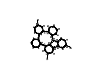 Cc1ccc2c3ccccc3c3cc(C)cc4c5cc(C)ccc5n(c5ccccc5c2c1)c34